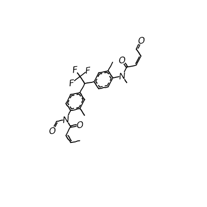 C/C=C\C(=O)N(C=O)c1ccc(C(c2ccc(N(C)C(=O)/C=C\C=O)c(C)c2)C(F)(F)F)cc1C